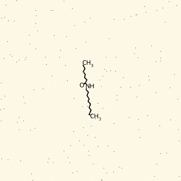 CCCCCCCCCCNC(=O)CCCCCCC